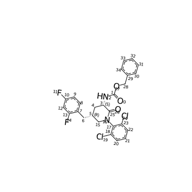 O=C(N[C@H]1C[C@@H](Cc2ccc(F)cc2F)CN(c2c(Cl)cccc2Cl)C1=O)OCc1ccccc1